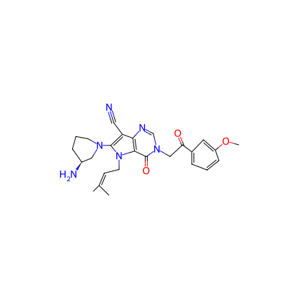 COc1cccc(C(=O)Cn2cnc3c(C#N)c(N4CCC[C@H](N)C4)n(CC=C(C)C)c3c2=O)c1